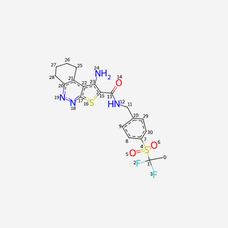 CC(F)(F)S(=O)(=O)c1ccc(CNC(=O)c2sc3nnc4c(c3c2N)CCCC4)cc1